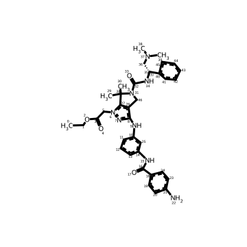 CCOC(=O)Cn1nc(Nc2cccc(NC(=O)c3ccc(N)cc3)c2)c2c1C(C)(C)N(C(=O)N[C@H](CN(C)C)c1ccccc1)C2